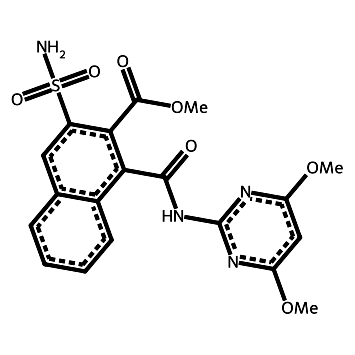 COC(=O)c1c(S(N)(=O)=O)cc2ccccc2c1C(=O)Nc1nc(OC)cc(OC)n1